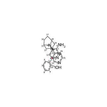 Nc1nnc(-c2ccccc2O)cc1N1C2CCC1CN(c1ccncc1)C2